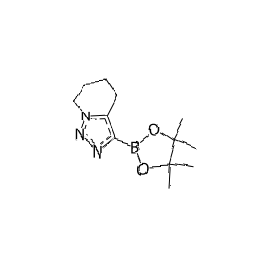 CC1(C)OB(c2nnn3c2CCCC3)OC1(C)C